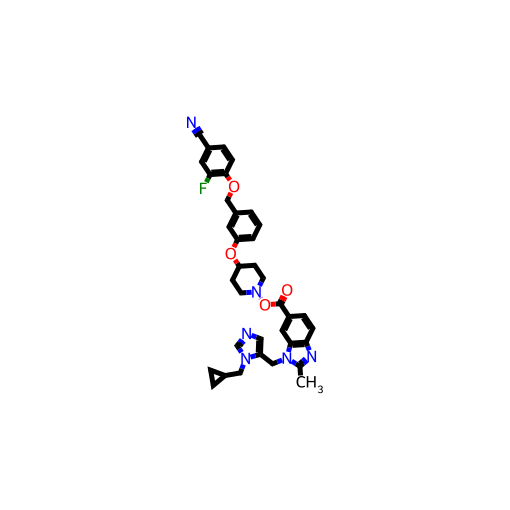 Cc1nc2ccc(C(=O)ON3CCC(Oc4cccc(COc5ccc(C#N)cc5F)c4)CC3)cc2n1Cc1cncn1CC1CC1